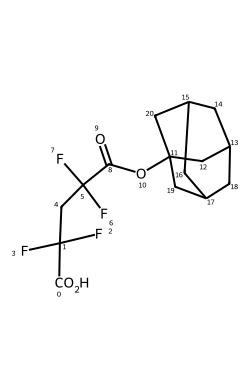 O=C(O)C(F)(F)CC(F)(F)C(=O)OC12CC3CC(CC(C3)C1)C2